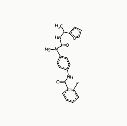 CC(NC(=O)N(S)c1ccc(NC(=O)c2ccccc2F)cc1)c1ccco1